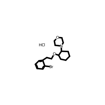 Brc1ccccc1CCOC1CCCCC1N1CCOCC1.Cl